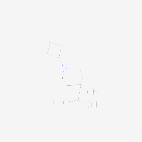 CC(C)C1(C)CCN(C2CC(F)C2)CC1